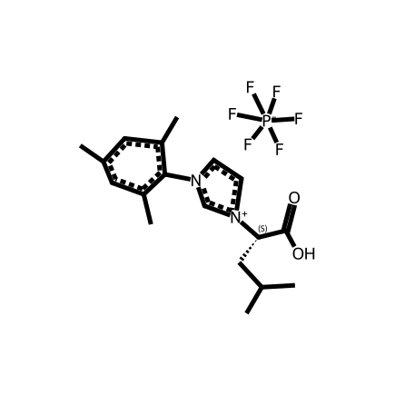 Cc1cc(C)c(-n2cc[n+]([C@@H](CC(C)C)C(=O)O)c2)c(C)c1.F[P-](F)(F)(F)(F)F